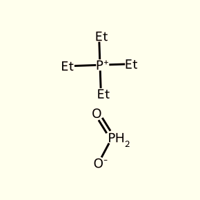 CC[P+](CC)(CC)CC.O=[PH2][O-]